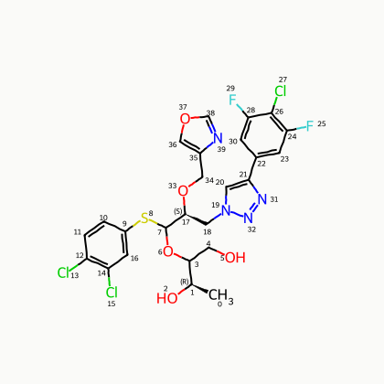 C[C@@H](O)C(CO)OC(Sc1ccc(Cl)c(Cl)c1)[C@H](Cn1cc(-c2cc(F)c(Cl)c(F)c2)nn1)OCc1cocn1